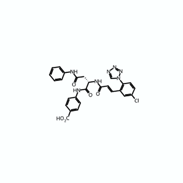 O=C(C=Cc1cc(Cl)ccc1-n1cnnn1)N[C@@H](CC(=O)Nc1ccccc1)C(=O)Nc1ccc(C(=O)O)cc1